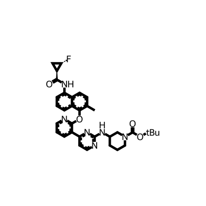 Cc1ccc2c(NC(=O)[C@H]3C[C@@H]3F)cccc2c1Oc1ncccc1-c1ccnc(NC2CCCN(C(=O)OC(C)(C)C)C2)n1